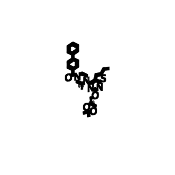 CCc1cc2c(N3CCN(C(=O)c4ccc(-c5ccccc5)cc4)C[C@@H]3C)nc(OC[C@H]3COC(C)(C)O3)nc2s1